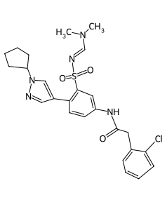 CN(C)/C=N/S(=O)(=O)c1cc(NC(=O)Cc2ccccc2Cl)ccc1-c1cnn(C2CCCC2)c1